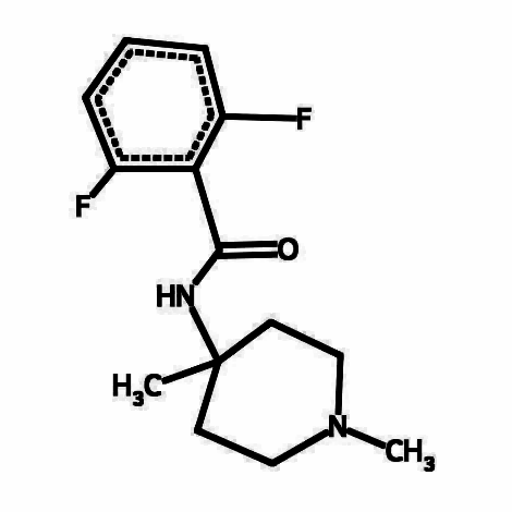 CN1CCC(C)(NC(=O)c2c(F)cccc2F)CC1